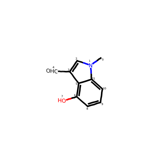 Cn1cc(C=O)c2c(O)cccc21